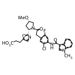 CO[C@H]1C[C@@H](c2ncc(CCC(=O)O)o2)N(C(=O)Cc2cc(Cl)c(NC(=O)c3cn(C)c4ccccc34)cc2F)C1